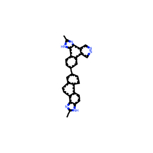 Cc1nc2c(ccc3c4ccc(-c5ccc6c(c5)c5cnncc5c5nc(C)[nH]c65)cc4ccc32)[nH]1